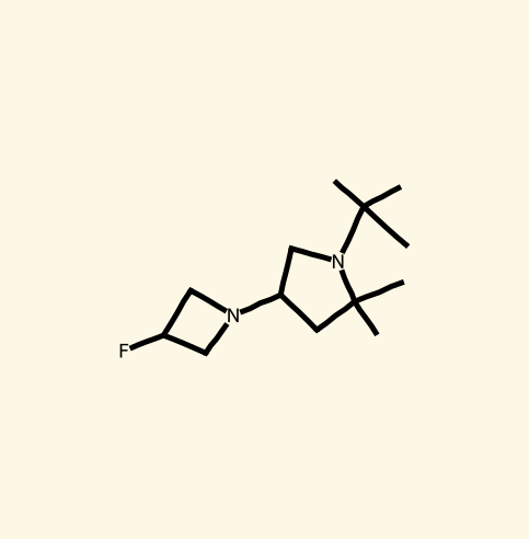 CC(C)(C)N1CC(N2CC(F)C2)CC1(C)C